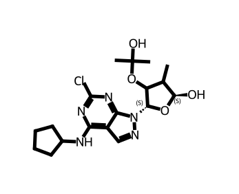 CC1C(OC(C)(C)O)[C@@H](n2ncc3c(NC4CCCC4)nc(Cl)nc32)O[C@@H]1O